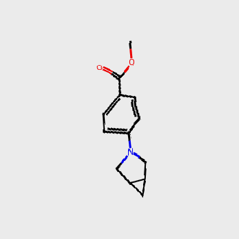 COC(=O)c1ccc(N2CC3CC3C2)cc1